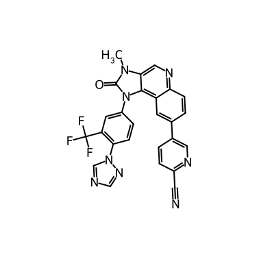 Cn1c(=O)n(-c2ccc(-n3cncn3)c(C(F)(F)F)c2)c2c3cc(-c4ccc(C#N)nc4)ccc3ncc21